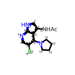 CC(=O)Nc1c[nH]c2ncc(Br)c(N3CCCC3)c12